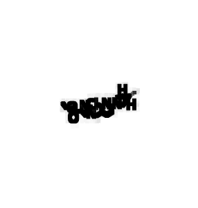 CCOC(=O)c1cn(Cc2ccc(N3C[C@@H]4[C@H](C)[C@@H]4C3)nc2Cl)cn1